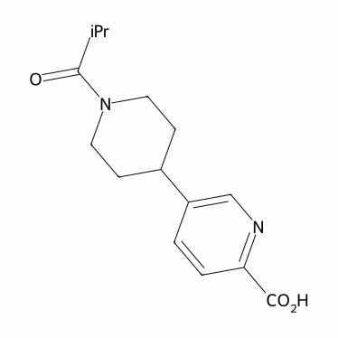 CC(C)C(=O)N1CCC(c2ccc(C(=O)O)nc2)CC1